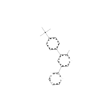 CC(C)(C)c1ccc(-c2cc(-c3ncccn3)cnc2F)cc1